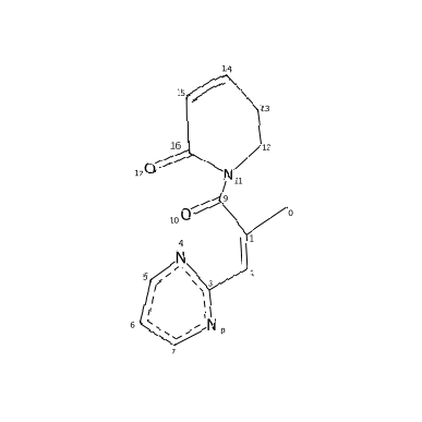 C/C(=C/c1ncccn1)C(=O)N1CCC=CC1=O